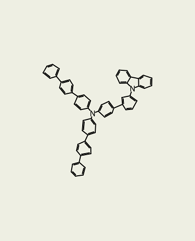 c1ccc(-c2ccc(-c3ccc(N(c4ccc(-c5ccc(-c6ccccc6)cc5)cc4)c4ccc(-c5cccc(-n6c7ccccc7c7ccccc76)c5)cc4)cc3)cc2)cc1